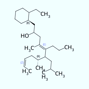 C/C=C\C[C@@H](C)C(CC(C)C)/C(CCC)=C(\C)CC(O)C[C@H]1CCCCC1CC